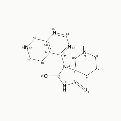 O=C1NC(=O)C2(CCCNC2)N1c1ncnc2c1CCNC2